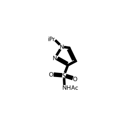 CC(=O)NS(=O)(=O)c1ccn(C(C)C)n1